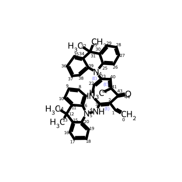 C=C/C1=C(\NN2c3ccccc3C(C)(C)c3ccccc32)N/C=C(N2c3ccccc3C(C)(C)c3ccccc32)\C=C(/C)C1=O